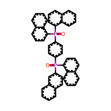 O=P(c1ccc(P(=O)(c2cccc3ccccc23)c2cccc3ccccc23)cc1)(c1ccc2ccccc2c1)c1cccc2ccccc12